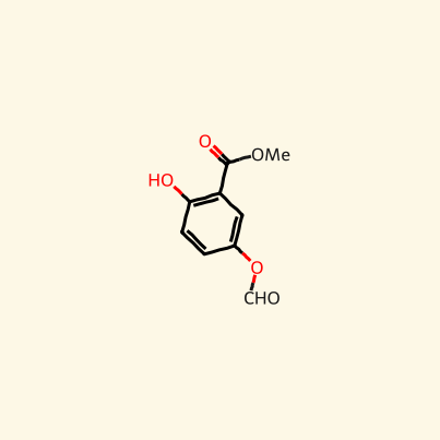 COC(=O)c1cc(OC=O)ccc1O